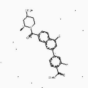 CNC(=O)c1ccc(-c2cc(Cl)c3ccc(C(=O)N4CCN(C(=O)O)C[C@@H]4C)cc3n2)cc1F